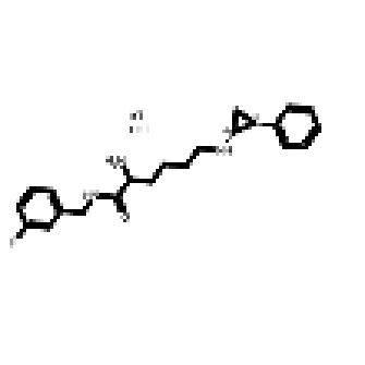 Cl.Cl.NC(CCCCN[C@@H]1C[C@H]1c1ccccc1)C(=O)NCc1cccc(F)c1